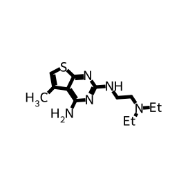 CCN(CC)CCNc1nc(N)c2c(C)csc2n1